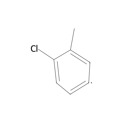 Cc1c[c]ccc1Cl